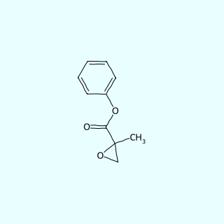 CC1(C(=O)Oc2ccccc2)CO1